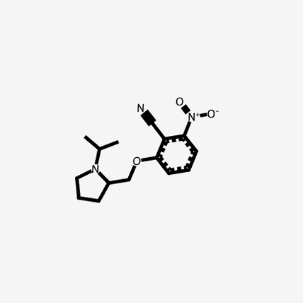 CC(C)N1CCCC1COc1cccc([N+](=O)[O-])c1C#N